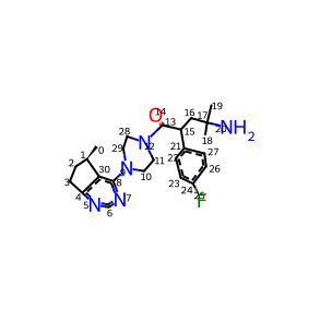 C[C@@H]1CCc2ncnc(N3CCN(C(=O)C(CC(C)(C)N)c4ccc(F)cc4)CC3)c21